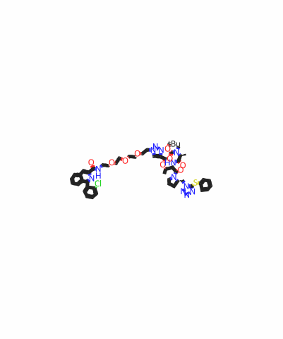 CC(OCc1cn(CCOCCOCCOCCNC(=O)c2cc3ccccc3c(-c3ccccc3Cl)n2)nn1)[C@H](NC(=O)[C@H](C)N(C)C(=O)OC(C)(C)C)C(=O)N1CCC[C@H]1Cn1nnnc1Sc1ccccc1